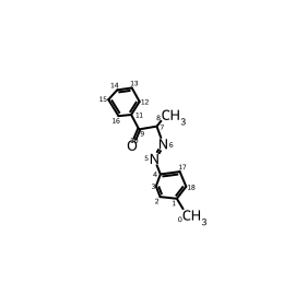 Cc1ccc(/N=N/C(C)C(=O)c2ccccc2)cc1